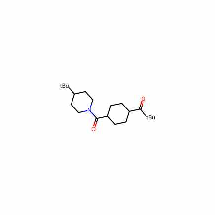 CC(C)(C)C(=O)C1CCC(C(=O)N2CCC(C(C)(C)C)CC2)CC1